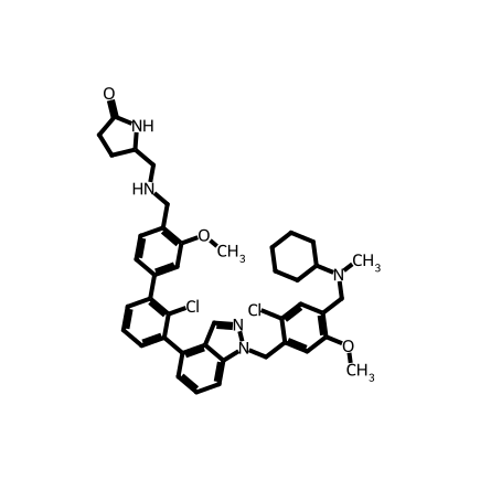 COc1cc(-c2cccc(-c3cccc4c3cnn4Cc3cc(OC)c(CN(C)C4CCCCC4)cc3Cl)c2Cl)ccc1CNCC1CCC(=O)N1